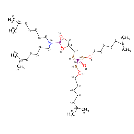 CC(C)CCCCCOSP(=O)(SCC1COP(N(CCCCCC(C)C)CCCCCC(C)C)O1)SOCCCCCC(C)C